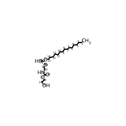 CCCCCCCCCCCCCCCCOP(O)OCCNC(=O)OCCO